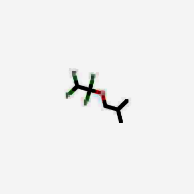 CC(C)COC(F)(F)C(F)F